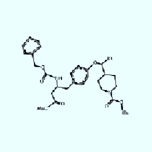 CCC(Oc1ccc(CC(CC(=O)OC)NC(=O)OCc2ccccc2)cc1)C1CCN(C(=O)OC(C)(C)C)CC1